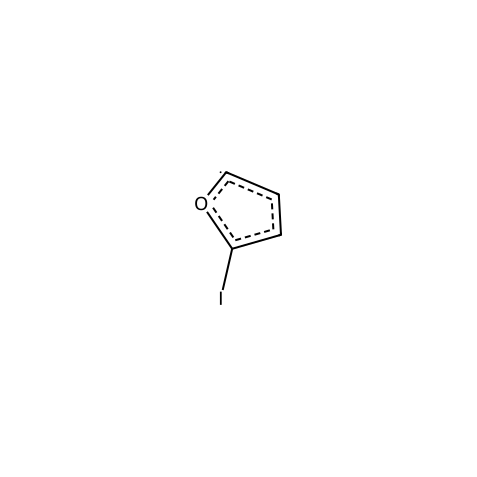 Ic1cc[c]o1